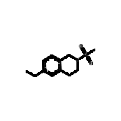 CCc1ccc2c(c1)CCN(S(C)(=O)=O)C2